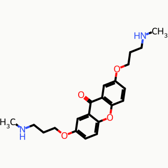 CNCCCOc1ccc2oc3ccc(OCCCNC)cc3c(=O)c2c1